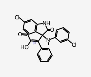 CN(c1cccc(Cl)c1)C1(/C(=C(/O)C=O)c2ccccc2)C(=O)Nc2cc(Cl)ccc21